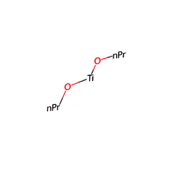 CCC[O][Ti][O]CCC